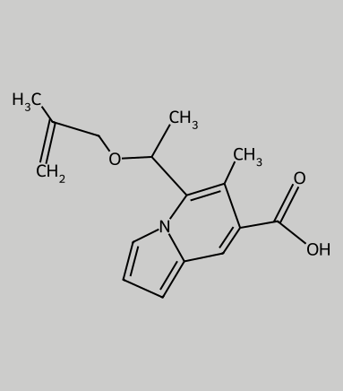 C=C(C)COC(C)c1c(C)c(C(=O)O)cc2cccn12